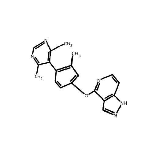 Cc1cc(Oc2nccc3[nH]ncc23)ccc1-c1c(C)ncnc1C